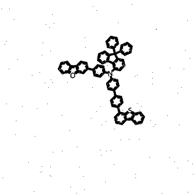 c1ccc(C2(c3ccccc3)c3ccccc3-c3c(N(c4ccc(-c5ccc(-c6cccc7c6sc6ccccc67)cc5)cc4)c4ccc(-c5ccc6c(c5)oc5ccccc56)cc4)cccc32)cc1